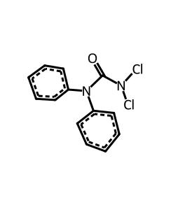 O=C(N(Cl)Cl)N(c1ccccc1)c1ccccc1